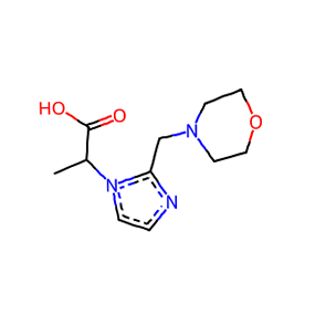 CC(C(=O)O)n1ccnc1CN1CCOCC1